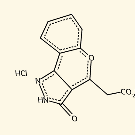 Cl.O=C(O)Cc1oc2ccccc2c2n[nH]c(=O)c1-2